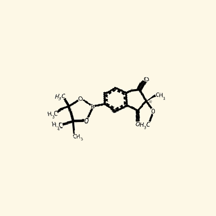 CO[C@@]1(C)C(=O)c2ccc(B3OC(C)(C)C(C)(C)O3)cc2C1=O